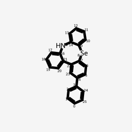 c1ccc(-c2ccc3[se]c4ccccc4[nH]c4ccccc4c3c2)cc1